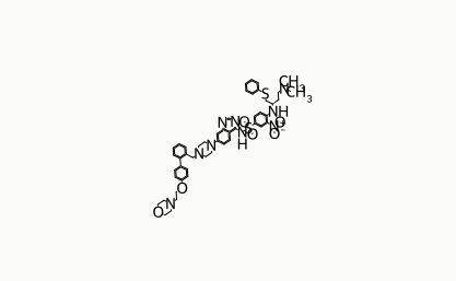 CN(C)CC[C@H](CSc1ccccc1)Nc1ccc(S(=O)(=O)Nc2ncnc3cc(N4CCN(Cc5ccccc5-c5ccc(OCCN6CCOCC6)cc5)CC4)ccc23)cc1[N+](=O)[O-]